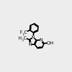 Cc1nc2ccc(O)nc2n1-c1ccccc1C(F)(F)F